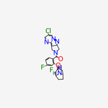 O=C(c1ccc(F)cc1O[C@H]1CC2CCC(N2)[C@@H]1F)N1Cc2nn3cc(Cl)cnc3c2C1